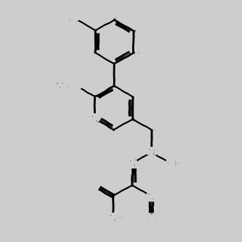 C=N/C(=N\N(C)Cc1cnc(OC)c(-c2cccc(Cl)c2)c1)C(N)=O